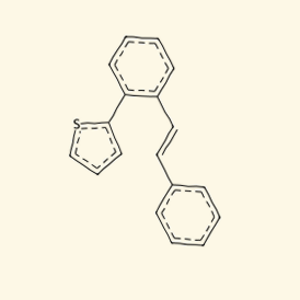 C(=Cc1ccccc1-c1cccs1)c1ccccc1